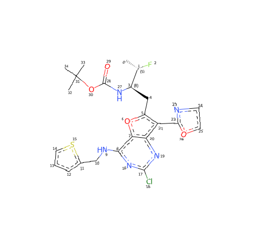 C[C@H](F)[C@@H](Cc1oc2c(NCc3cccs3)nc(Cl)nc2c1-c1ncco1)NC(=O)OC(C)(C)C